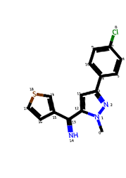 Cn1nc(-c2ccc(Cl)cc2)cc1C(=N)c1ccsc1